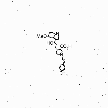 COc1ccc2nccc([C@@H](O)CC[C@@H]3CCN(CCSc4ccc(C)cc4)C[C@@H]3C(=O)O)c2c1